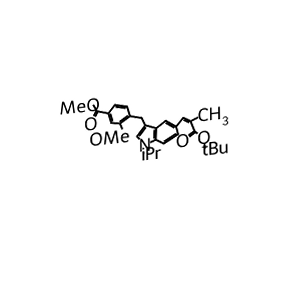 COC(=O)c1ccc(Cc2cn(C(C)C)c3ccc(/C=C(/C)C(=O)OC(C)(C)C)cc23)c(OC)c1